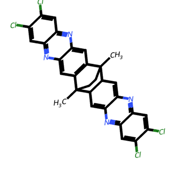 CC12CCC(C)(c3cc4nc5cc(Cl)c(Cl)cc5nc4cc31)C1C=c3nc4cc(Cl)c(Cl)cc4nc3=CC12